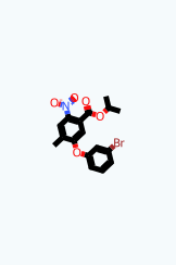 Cc1cc([N+](=O)[O-])c(C(=O)OC(C)C)cc1Oc1cccc(Br)c1